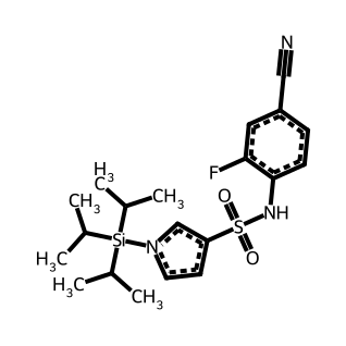 CC(C)[Si](C(C)C)(C(C)C)n1ccc(S(=O)(=O)Nc2ccc(C#N)cc2F)c1